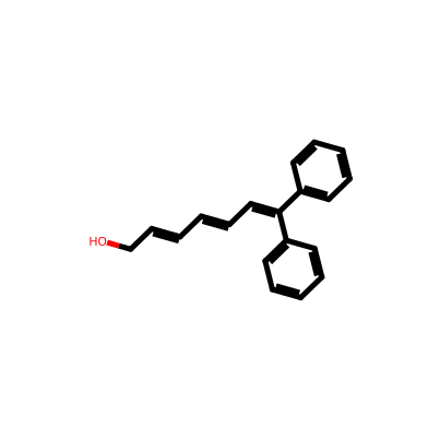 OC/C=C/C=C/C=C(c1ccccc1)c1ccccc1